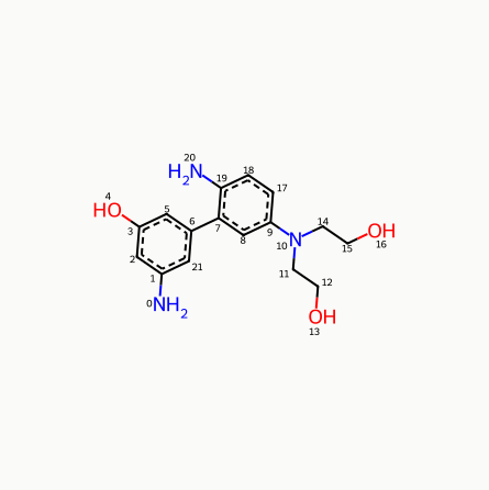 Nc1cc(O)cc(-c2cc(N(CCO)CCO)ccc2N)c1